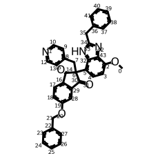 COc1ccc(C2(Cc3ccncc3)C(=O)c3ccc(OCc4ccccc4)cc3C2=O)c2[nH]c(Cc3ccccc3)nc12